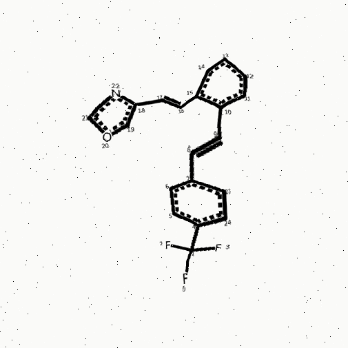 FC(F)(F)c1ccc(C=Cc2ccccc2C=Cc2cocn2)cc1